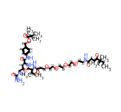 CCC(C)(C)C(=O)CCC(=O)NCCOCCOCCOCCOCCC(=O)N[C@H](C(=O)N[C@@H](CCCNC(N)=O)C(=O)Nc1ccc(COC(=O)C(C)(C)C)cc1)C(C)C